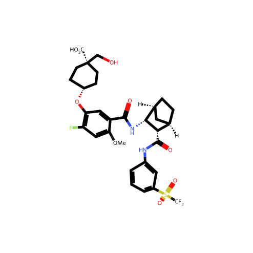 COc1cc(F)c(O[C@H]2CC[C@@](CO)(C(=O)O)CC2)cc1C(=O)N[C@@H]1[C@H]2CC[C@H](C2)[C@@H]1C(=O)Nc1cccc(S(=O)(=O)C(F)(F)F)c1